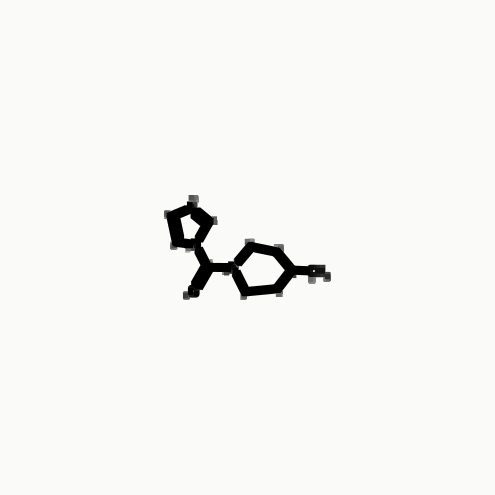 CC1CCN(C(=O)n2ccnc2)CC1